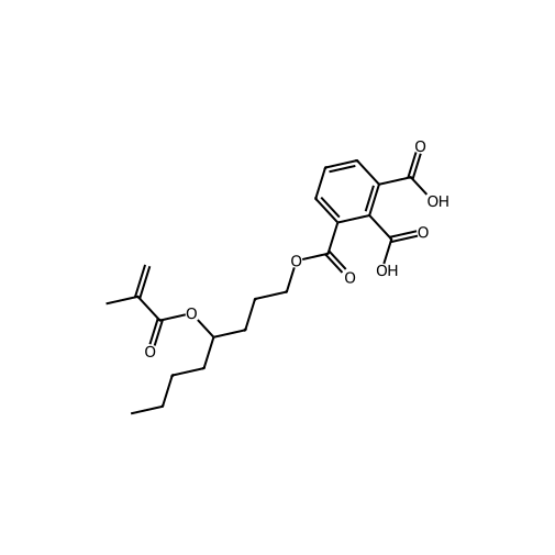 C=C(C)C(=O)OC(CCCC)CCCOC(=O)c1cccc(C(=O)O)c1C(=O)O